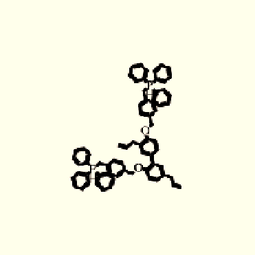 C=CCc1ccc(OCc2ccc(C[PH](c3ccccc3)(c3ccccc3)c3ccccc3)cc2)c(-c2ccc(OCc3ccc(C[PH](c4ccccc4)(c4ccccc4)c4ccccc4)cc3)c(CC=C)c2)c1